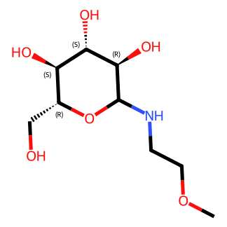 COCCNC1O[C@H](CO)[C@@H](O)[C@H](O)[C@H]1O